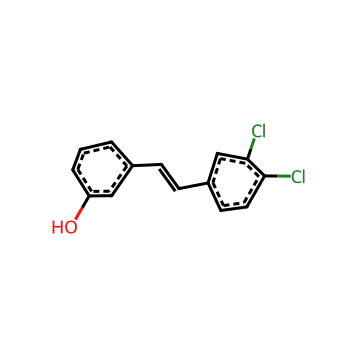 Oc1cccc(C=Cc2ccc(Cl)c(Cl)c2)c1